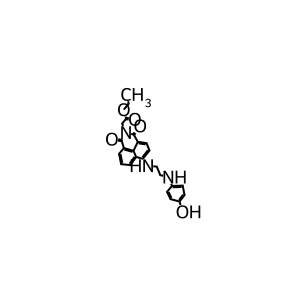 CCOC(=O)CN1C(=O)c2cccc3c(NCCNc4ccc(O)cc4)ccc(c23)C1=O